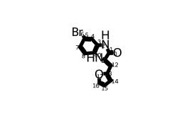 O=C1Nc2cc(Br)ccc2NC1=Cc1ccco1